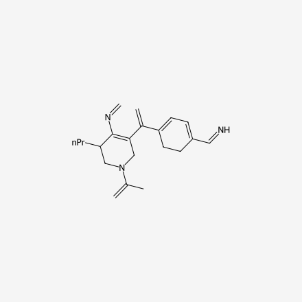 C=NC1=C(C(=C)C2=CC=C(C=N)CC2)CN(C(=C)C)CC1CCC